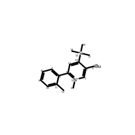 CCC(C)c1c[n+](C)c(-c2ccccc2C)cc1[Si](C)(C)C